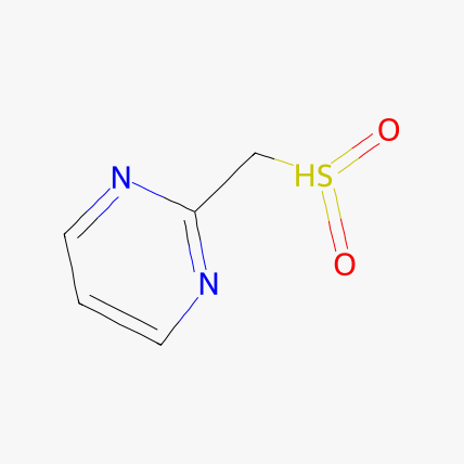 O=[SH](=O)Cc1ncccn1